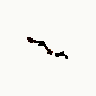 [Br][Ca][Br].[CaH2]